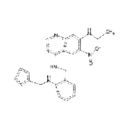 CCNc1cc2ncnc(NCc3ccccc3NCc3cccs3)c2cc1[N+](=O)[O-]